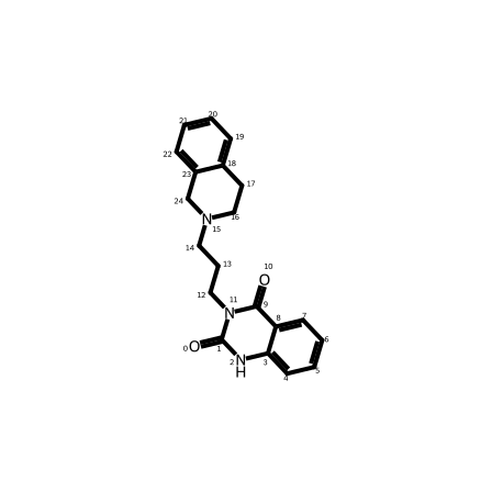 O=c1[nH]c2ccccc2c(=O)n1CCCN1CCc2ccccc2C1